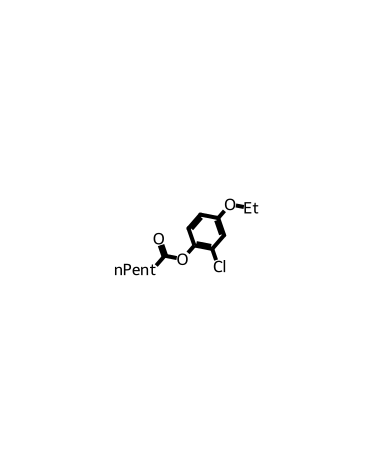 CCCCCC(=O)Oc1ccc(OCC)cc1Cl